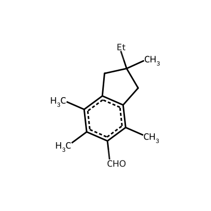 CCC1(C)Cc2c(C)c(C)c(C=O)c(C)c2C1